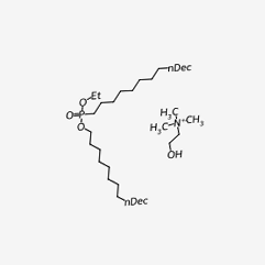 CCCCCCCCCCCCCCCCCCOP(=O)(CCCCCCCCCCCCCCCCCC)OCC.C[N+](C)(C)CCO